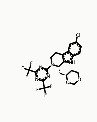 FC(F)(F)c1nc(N2CCc3c([nH]c4ccc(Cl)cc34)[C@@H]2C[C@H]2CCOCO2)nc(C(F)(F)F)n1